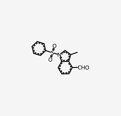 Cc1cn(S(=O)(=O)c2ccccc2)c2cccc(C=O)c12